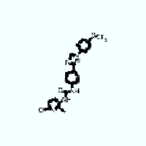 Cc1nc(Cl)ccc1NC(=O)Nc1ccc(-c2ncn(-c3ccc(OC(F)(F)F)cc3)n2)cc1